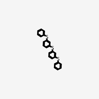 c1ccc(Sc2cccc(Sc3cccc(Sc4ccccc4)c3)c2)cc1